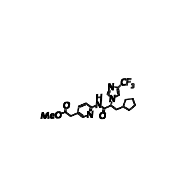 COC(=O)Cc1ccc(NC(=O)C(CC2CCCC2)n2cnc(C(F)(F)F)c2)nc1